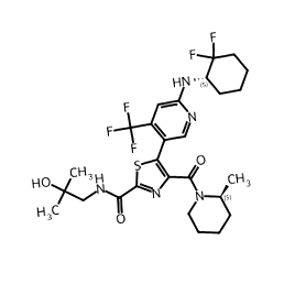 C[C@H]1CCCCN1C(=O)c1nc(C(=O)NCC(C)(C)O)sc1-c1cnc(N[C@H]2CCCCC2(F)F)cc1C(F)(F)F